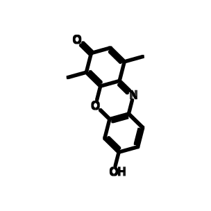 Cc1cc(=O)c(C)c2oc3cc(O)ccc3nc1-2